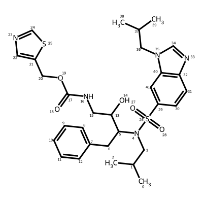 CC(C)CN(C(Cc1ccccc1)C(O)CNC(=O)OCc1cncs1)S(=O)(=O)c1ccc2ncn(CC(C)C)c2c1